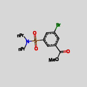 CCCN(CCC)S(=O)(=O)c1cc(Br)cc(C(=O)OC)c1